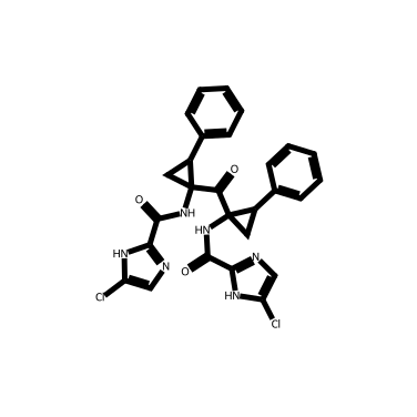 O=C(NC1(C(=O)C2(NC(=O)c3ncc(Cl)[nH]3)CC2c2ccccc2)CC1c1ccccc1)c1ncc(Cl)[nH]1